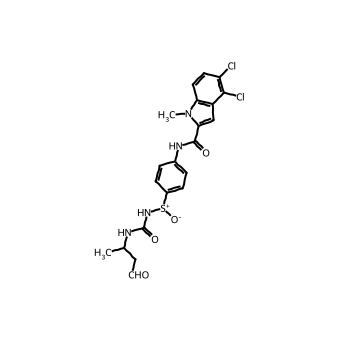 CC(CC=O)NC(=O)N[S+]([O-])c1ccc(NC(=O)c2cc3c(Cl)c(Cl)ccc3n2C)cc1